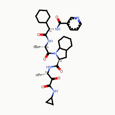 CCC[C@H](NC(=O)[C@@H]1CC2CCCCC2N1C(=O)[C@@H](NC(=O)[C@@H](NC(=O)c1cccnc1)C1CCCCC1)C(C)(C)C)C(=O)C(=O)NC1CC1